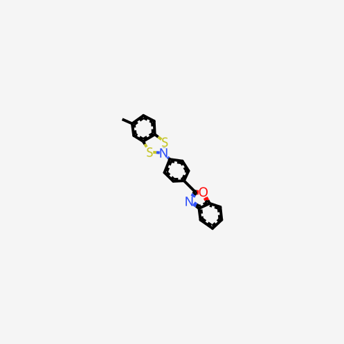 Cc1ccc2c(c1)SN(c1ccc(-c3nc4ccccc4o3)cc1)S2